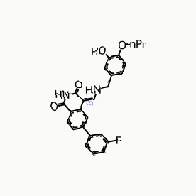 CCCOc1ccc(CN/C=C2\C(=O)NC(=O)c3ccc(-c4cccc(F)c4)cc32)cc1O